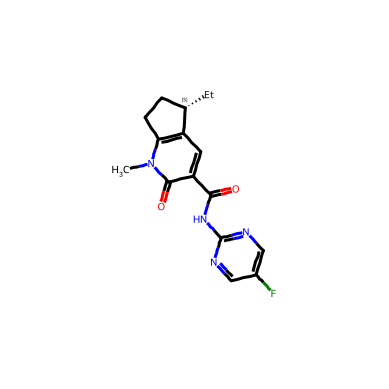 CC[C@H]1CCc2c1cc(C(=O)Nc1ncc(F)cn1)c(=O)n2C